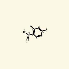 Cc1ccc([PH](=O)O)c(C)c1